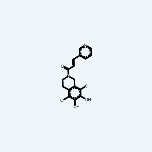 O=C(C=Cc1cccnc1)N1CCc2c(Cl)c(O)c(O)c(Cl)c2C1